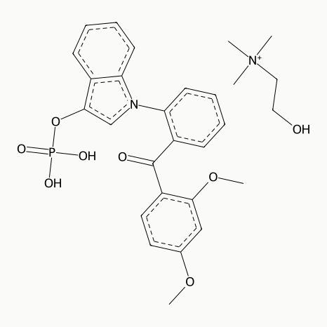 COc1ccc(C(=O)c2ccccc2-n2cc(OP(=O)(O)O)c3ccccc32)c(OC)c1.C[N+](C)(C)CCO